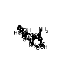 Cc1nc(-c2c(O)cc3c(c2O)CCC3(C)C)nc(N)c1C(=O)NCC(=O)N(C)[C@@H]1C(=O)N[C@@H](C)C(=O)N[C@H](C(=O)O)Cc2ccc(OCCCN)c(c2)-c2cc1cc(OCCCN)c2O